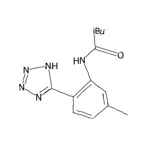 CCC(C)C(=O)Nc1cc(C)ccc1-c1nnn[nH]1